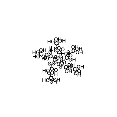 O=C(OCC1OC(OC(=O)c2cc(O)c(OC(=O)c3cc(O)c(O)c(O)c3)c(O)c2)C(OC(=O)c2cc(O)c(OC(=O)c3cc(O)c(O)c(O)c3)c(O)c2)C(OC(=O)c2cc(O)c(OC(=O)c3cc(O)c(O)c(O)c3)c(O)c2)C1OC(=O)c1cc(O)c(OC(=O)c2cc(O)c(O)c(O)c2)c(O)c1)c1cc(O)c(OC(=O)c2cc(O)c(O)c(O)c2)c(O)c1